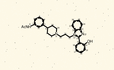 CC(=O)Nc1cccc(C2CCN(CCCn3c(-c4ccccc4O)nc4ccccc43)CC2)c1